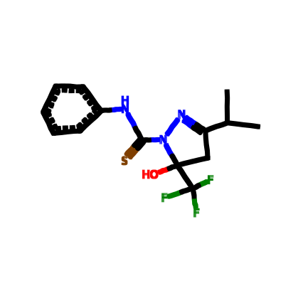 CC(C)C1=NN(C(=S)Nc2ccccc2)C(O)(C(F)(F)F)C1